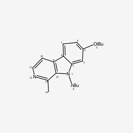 CCCCn1c2cc(OCC(C)C)ccc2c2ccnc(C)c21